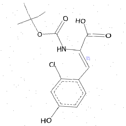 CC(C)(C)OC(=O)N/C(=C\c1ccc(O)cc1Cl)C(=O)O